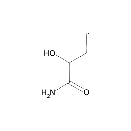 [CH2]CC(O)C(N)=O